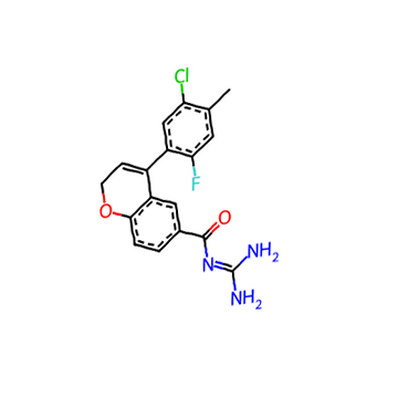 Cc1cc(F)c(C2=CCOc3ccc(C(=O)N=C(N)N)cc32)cc1Cl